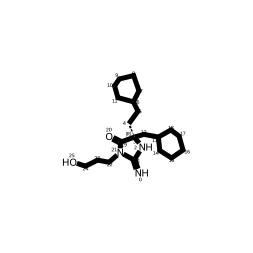 N=C1N[C@](CCC2CCCCC2)(CC2CCCCC2)C(=O)N1CCCO